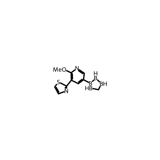 COc1ncc(B2BBCB2)cc1-c1nccs1